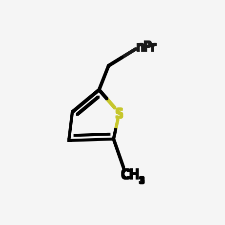 CCCCc1ccc(C)s1